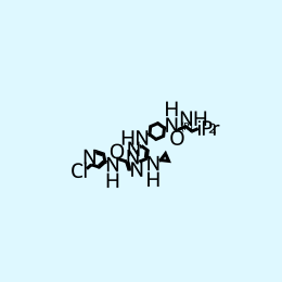 CC(C)C[C@@H](N)C(=O)NC1CCC(Nc2cc(NC3CC3)c3ncc(C(=O)Nc4ccnc(Cl)c4)n3n2)CC1